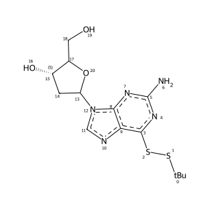 CC(C)(C)SSc1nc(N)nc2c1ncn2C1C[C@H](O)C(CO)O1